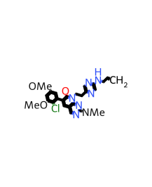 C=CCNc1cnc(CCn2c(=O)c(-c3cc(OC)cc(OC)c3Cl)cc3cnc(NC)nc32)cn1